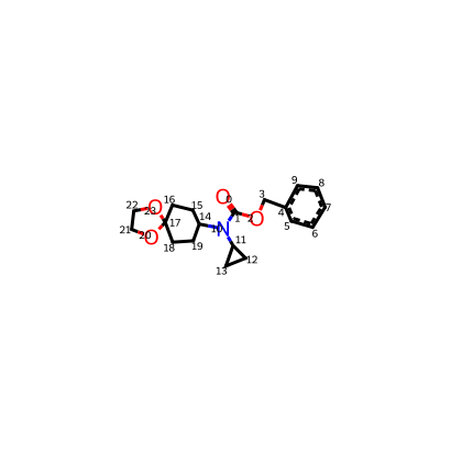 O=C(OCc1ccccc1)N(C1CC1)C1CCC2(CC1)OCCO2